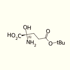 CC(C)(C)OC(=O)CC[C@](N)(O)C(=O)O